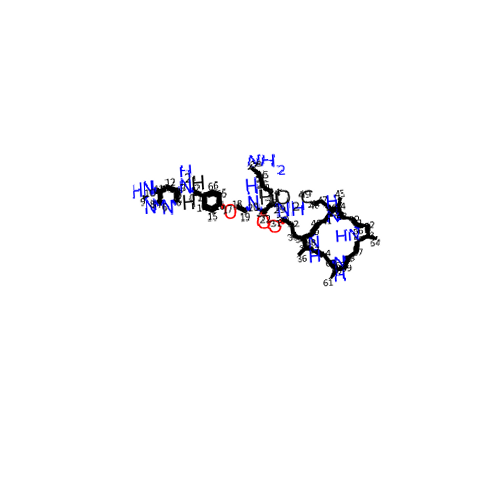 [2H]C([2H])(Nc1cnc2nc[nH]c2c1)c1ccc(OCCNC(=O)[C@H](CCCCN)NC(=O)CCc2c(C)/c3[nH]/c2=C\c2[nH]c(c(C)c2CCC(=O)O)/C=c2/cc(C)/c([nH]2)=C/c2cc(C)c([nH]2)/C=3)cc1